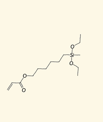 C=CC(=O)OCCCCCC[Si](C)(OCC)OCC